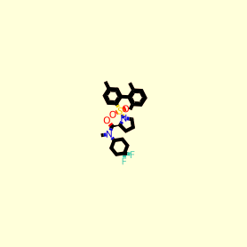 Cc1ccc(S(=O)(=O)N2CCC[C@H]2C(=O)N(C)C2CCC(F)(F)CC2)c(-c2c(C)cccc2C)c1